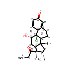 CC(=O)OCC(=O)[C@]1(OC(C)=O)[C@@H](C)C[C@H]2[C@@H]3CCC4=CC(=O)C=C[C@]4(C)[C@@]3(Cl)[C@@H](O)C[C@@]21C